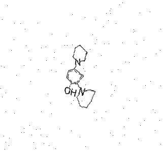 Oc1ccc(N2CCCCC2)cc1N1CCCCCC1